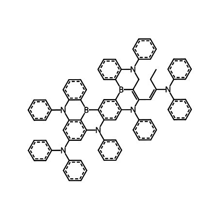 CC/C(=C\C1=C2CN(c3ccccc3)c3ccccc3B2c2cc3c(cc2N1c1ccccc1)N(c1ccccc1)c1cc(N(c2ccccc2)c2ccccc2)cc2c1B3c1ccccc1N2c1ccccc1)N(c1ccccc1)c1ccccc1